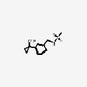 CS(=O)(=O)NCc1cccc(C2(C(=O)O)CC2)c1